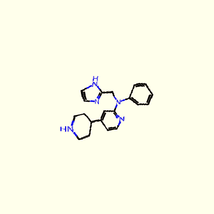 c1ccc(N(Cc2ncc[nH]2)c2cc(C3CCNCC3)ccn2)cc1